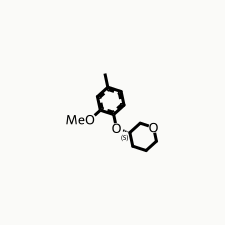 COc1cc(C)ccc1O[C@H]1CCCOC1